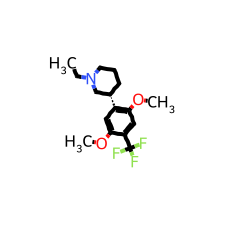 CCN1CCC[C@H](c2cc(OC)c(C(F)(F)F)cc2OC)C1